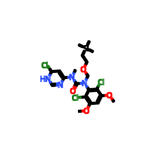 COc1cc(OC)c(Cl)c(N(COCC[Si](C)(C)C)C(=O)N(C)C2=CC(Cl)NC=N2)c1Cl